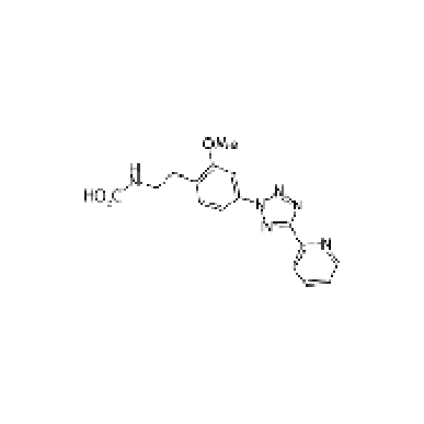 COc1cc(-n2nnc(-c3ccccn3)n2)ccc1CCNC(=O)O